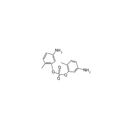 Cc1ccc(N)cc1OS(=O)(=O)Oc1cc(N)ccc1C